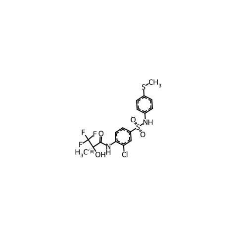 CSc1ccc(NS(=O)(=O)c2ccc(NC(=O)[C@@](C)(O)C(F)(F)F)c(Cl)c2)cc1